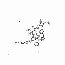 CCCCC(NC(=O)CNC(=O)C(=O)C(CCC)NC(=O)[C@@H]1C[C@@H](OCOCCOC)CN1C(=O)C(NC(=O)C(C)Cc1ccccc1)C1CCCCC1)C(N)=O